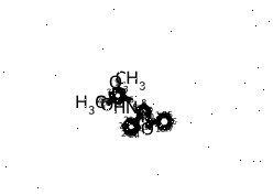 COc1cc(CNC2CCN(C(=O)C3CCCCC3)C2c2ccccc2)cc(OC)c1